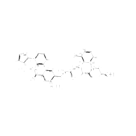 Cc1cc(C(=O)N(C)c2ccccc2-c2ccco2)ccc1CNC(=O)ON1CC(=O)N(CCO)c2cccc(F)c21